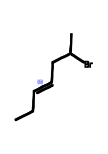 CC/C=C/CC(C)Br